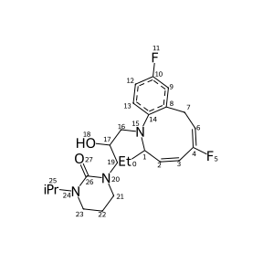 CCC1/C=C\C(F)=C/Cc2cc(F)ccc2N1CC(O)CN1CCCN(C(C)C)C1=O